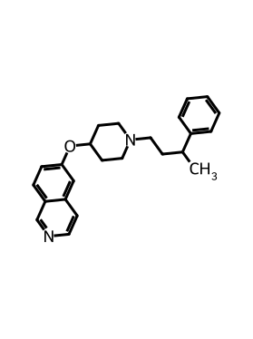 CC(CCN1CCC(Oc2ccc3cnccc3c2)CC1)c1ccccc1